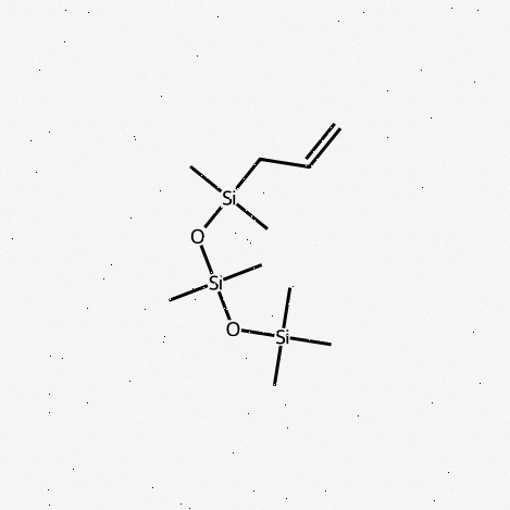 C=CC[Si](C)(C)O[Si](C)(C)O[Si](C)(C)C